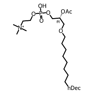 CCCCCCCCCCCCCCCCCCOC[C@H](COP(=O)(O)OCC[N+](C)(C)C)OC(C)=O